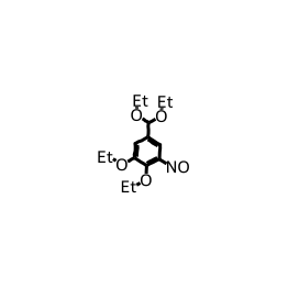 CCOc1cc(C(OCC)OCC)cc(N=O)c1OCC